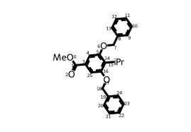 COC(=O)c1cc(OCc2ccccc2)c(C(C)C)c(OCc2ccccc2)c1